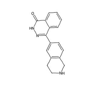 O=c1[nH]nc(-c2ccc3c(c2)CCNC3)c2ccccc12